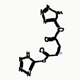 O=C(/C=C\C(=O)Oc1nnn[nH]1)Oc1nnn[nH]1